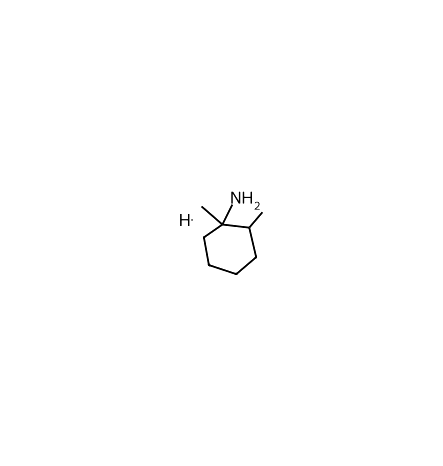 CC1CCCCC1(C)N.[H]